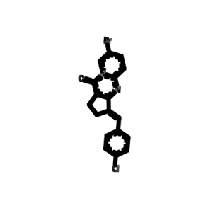 O=c1c2c(nc3ccc(Br)cn13)C(=Cc1ccc(Cl)cc1)CC2